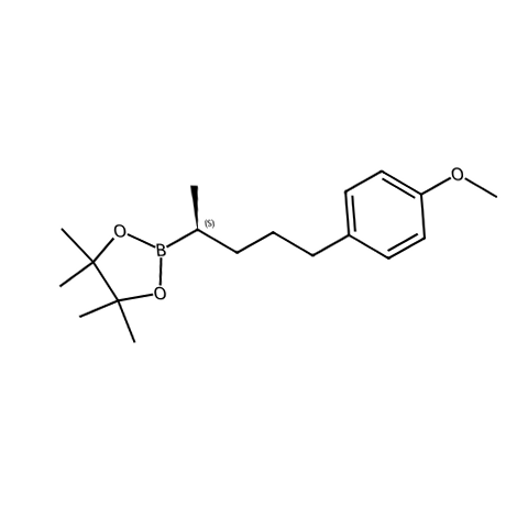 COc1ccc(CCC[C@H](C)B2OC(C)(C)C(C)(C)O2)cc1